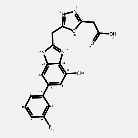 O=C(O)Cc1nnc(Cc2nc3c(Cl)cc(-c4cccc(F)c4)cc3s2)o1